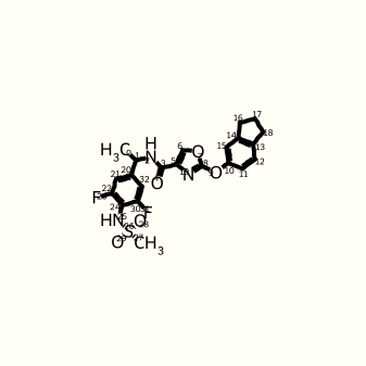 CC(NC(=O)c1coc(Oc2ccc3c(c2)CCC3)n1)c1cc(F)c(NS(C)(=O)=O)c(F)c1